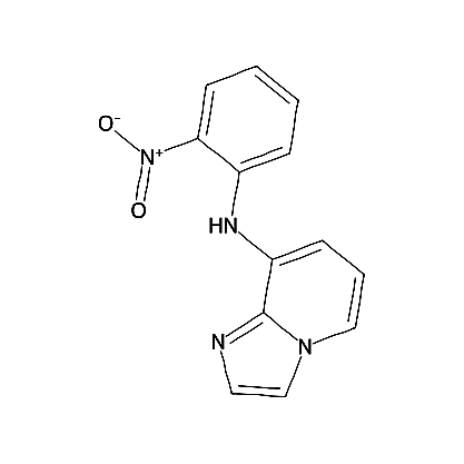 O=[N+]([O-])c1ccccc1Nc1cccn2ccnc12